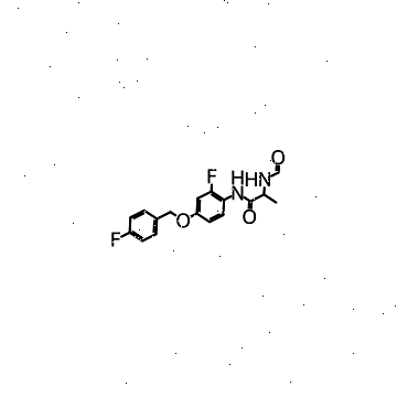 CC(NC=O)C(=O)Nc1ccc(OCc2ccc(F)cc2)cc1F